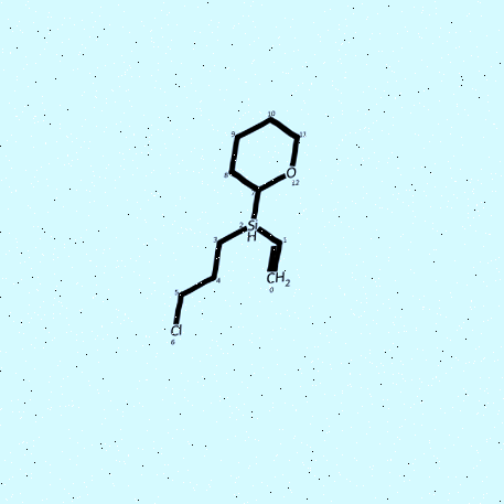 C=C[SiH](CCCCl)C1CCCCO1